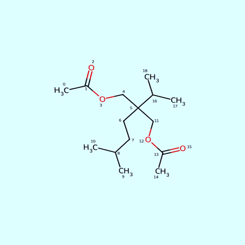 CC(=O)OCC(CCC(C)C)(COC(C)=O)C(C)C